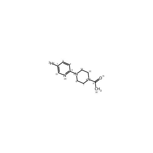 [2H]c1ccc(N2CCN(C(C)=O)CC2)nc1